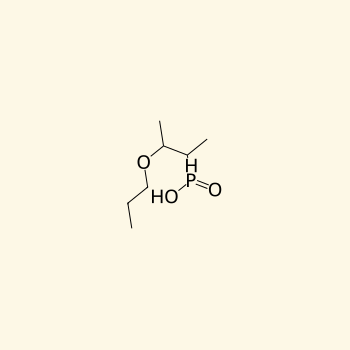 CCCOC(C)C(C)[PH](=O)O